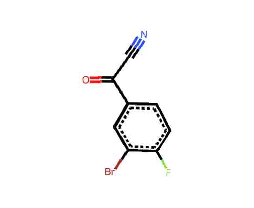 N#CC(=O)c1ccc(F)c(Br)c1